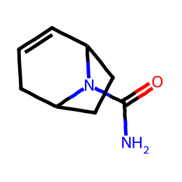 NC(=O)N1C2C=CCC1CC2